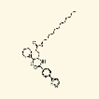 CCCCCCCCCCCCSC(=O)CC[C@H](NC(=O)c1ccc(-n2ccnn2)cc1)C(=O)N1CCCCC1